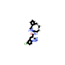 O=C(/C=C/c1cc(Cl)ccc1-n1cnnn1)N[C@H]1CCCCCCc2ccccc2-c2c[nH]c1n2